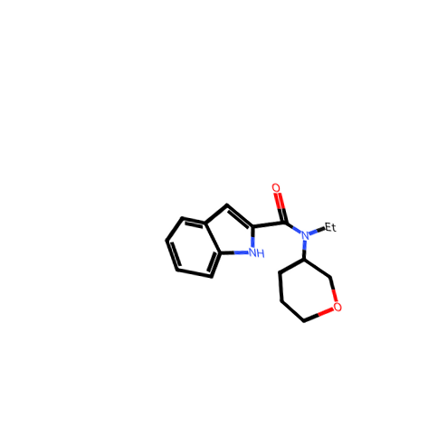 CCN(C(=O)c1cc2ccccc2[nH]1)C1CCCOC1